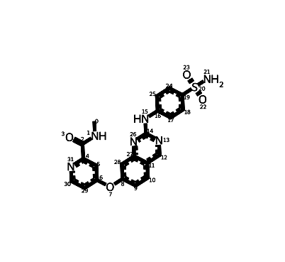 CNC(=O)c1cc(Oc2ccc3cnc(Nc4ccc(S(N)(=O)=O)cc4)nc3c2)ccn1